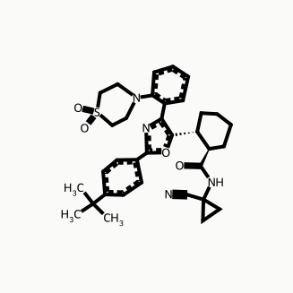 CC(C)(C)c1ccc(-c2nc(-c3ccccc3N3CCS(=O)(=O)CC3)c([C@@H]3CCCC[C@H]3C(=O)NC3(C#N)CC3)o2)cc1